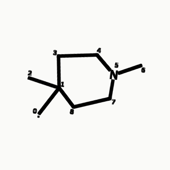 [CH2]C1(C)CCN(C)CC1